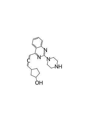 OC1CCC(C=C=Cc2nc(N3CCNCC3)nc3ccccc23)C1